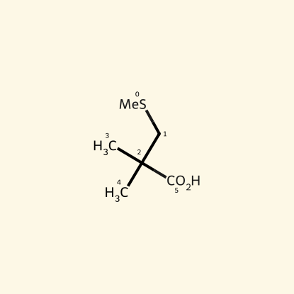 CSCC(C)(C)C(=O)O